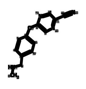 CNCc1ccc(Oc2cnc(C#N)cn2)cc1